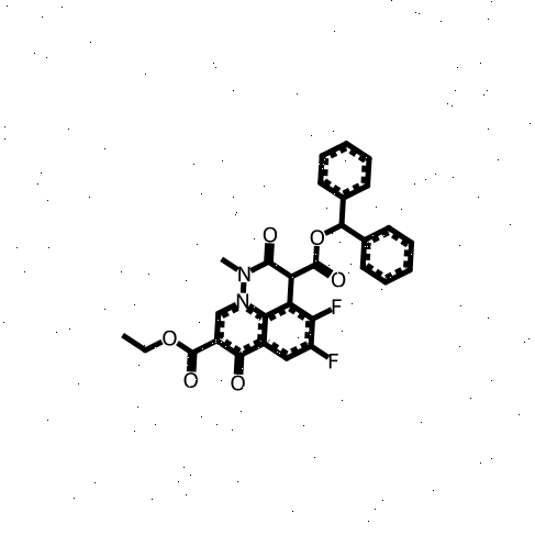 CCOC(=O)c1cn2c3c(c(F)c(F)cc3c1=O)C(C(=O)OC(c1ccccc1)c1ccccc1)C(=O)N2C